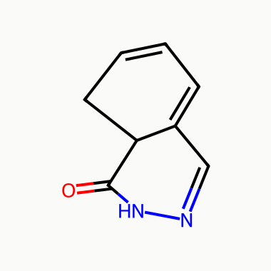 O=C1NN=CC2=CC=CCC12